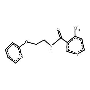 O=C(NCCOc1ccccn1)c1cnccc1C(F)(F)F